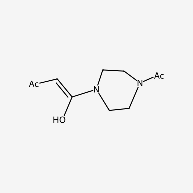 CC(=O)/C=C(\O)N1CCN(C(C)=O)CC1